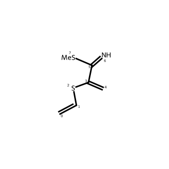 C=CSC(=C)C(=N)SC